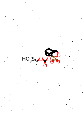 O=C(OCS(=O)(=O)O)OC1C2CC3C1OS(=O)(=O)C3C2